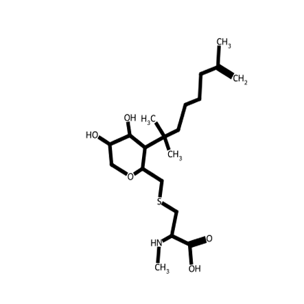 C=C(C)CCCCC(C)(C)C1C(CSCC(NC)C(=O)O)OCC(O)C1O